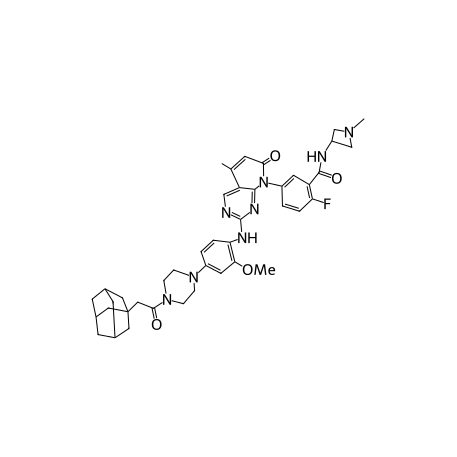 COc1cc(N2CCN(C(=O)CC34CC5CC(CC(C5)C3)C4)CC2)ccc1Nc1ncc2c(C)cc(=O)n(-c3ccc(F)c(C(=O)NC4CN(C)C4)c3)c2n1